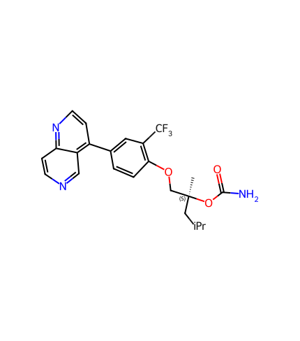 CC(C)C[C@@](C)(COc1ccc(-c2ccnc3ccncc23)cc1C(F)(F)F)OC(N)=O